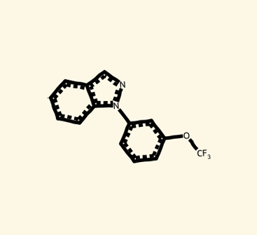 FC(F)(F)Oc1cccc(-n2ncc3c[c]ccc32)c1